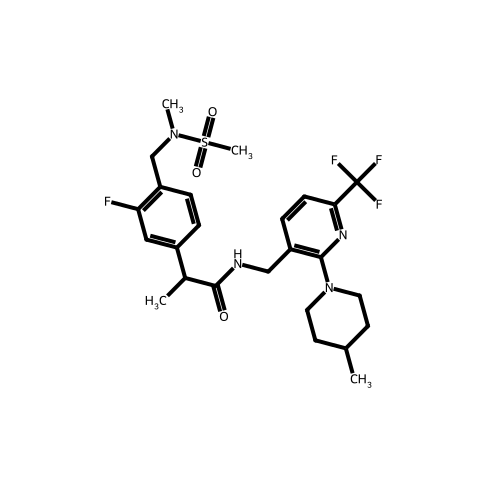 CC1CCN(c2nc(C(F)(F)F)ccc2CNC(=O)C(C)c2ccc(CN(C)S(C)(=O)=O)c(F)c2)CC1